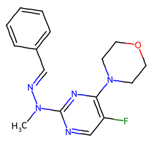 CN(/N=C/c1ccccc1)c1ncc(F)c(N2CCOCC2)n1